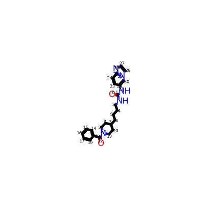 O=C(NCCCCC1CCN(C(=O)c2ccccc2)CC1)Nc1ccc2nccn2c1